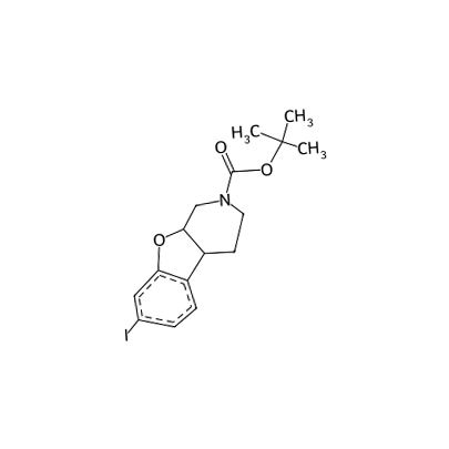 CC(C)(C)OC(=O)N1CCC2c3ccc(I)cc3OC2C1